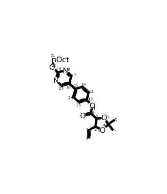 C=CC1OC(C)(C)OC1C(=O)Oc1ccc(-c2cnc(OCCCCCCCC)nc2)cc1